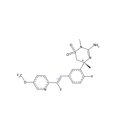 CN1C(N)=N[C@](C)(c2cc(/C=C(\F)c3ccc(OC(F)(F)F)cn3)ccc2F)CS1(=O)=O